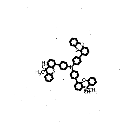 CC1(C)c2ccccc2Sc2c(-c3ccc(N(c4ccc(-c5cccc6c5Oc5ccccc5[Si]6(C)C)cc4)c4ccc(-c5cccc6c5Sc5ccccc5O6)cc4)cc3)cccc21